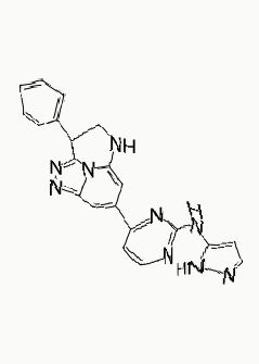 c1ccc(C2CNc3cc(-c4ccnc(Nc5ccn[nH]5)n4)cc4nnc2n34)cc1